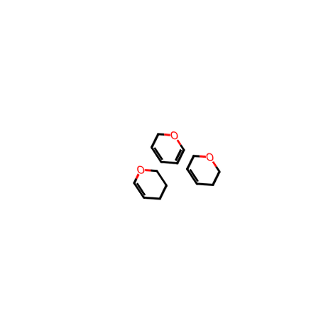 C1=CCOC=C1.C1=CCOCC1.C1=COCCC1